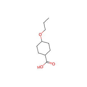 CCCOC1CCC(C(=O)O)CC1